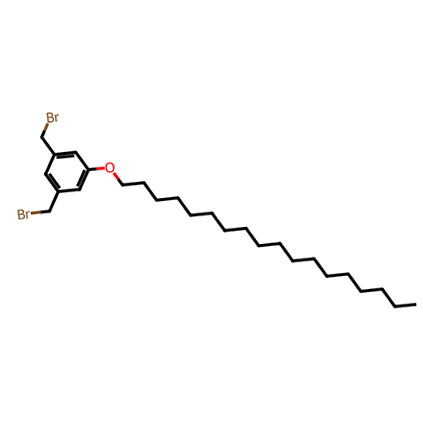 CCCCCCCCCCCCCCCCCCOc1cc(CBr)cc(CBr)c1